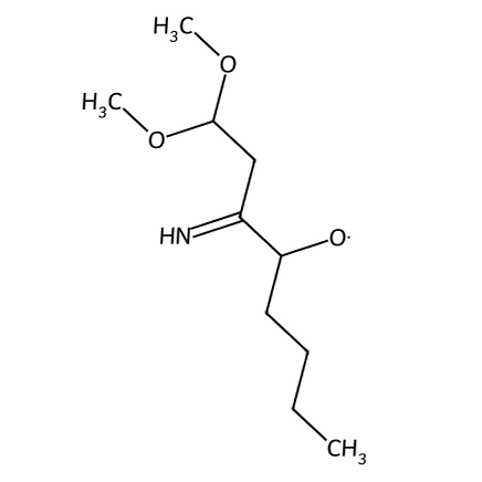 CCCCC([O])C(=N)CC(OC)OC